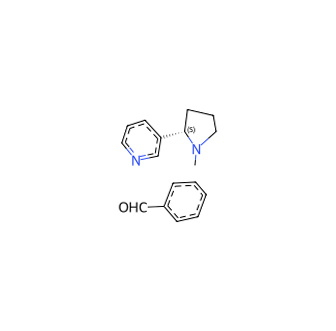 CN1CCC[C@H]1c1cccnc1.O=Cc1ccccc1